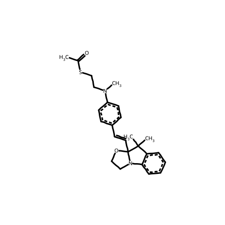 CC(=O)SCCN(C)c1ccc(/C=C/C23OCCN2c2ccccc2C3(C)C)cc1